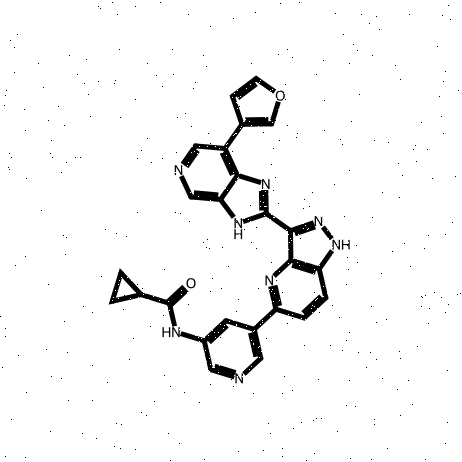 O=C(Nc1cncc(-c2ccc3[nH]nc(-c4nc5c(-c6ccoc6)cncc5[nH]4)c3n2)c1)C1CC1